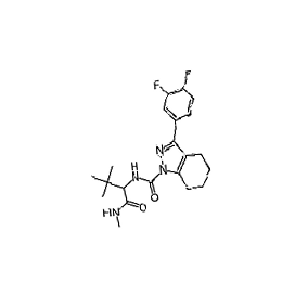 CNC(=O)C(NC(=O)n1nc(-c2ccc(F)c(F)c2)c2c1CCCC2)C(C)(C)C